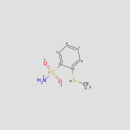 NS(=O)(=O)c1ccccc1SC(F)(F)F